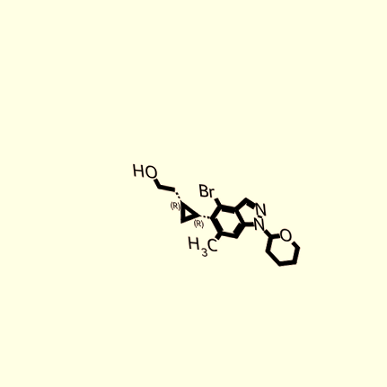 Cc1cc2c(cnn2C2CCCCO2)c(Br)c1[C@@H]1C[C@@H]1CCO